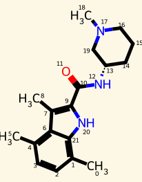 Cc1ccc(C)c2c(C)c(C(=O)N[C@H]3CCCN(C)C3)[nH]c12